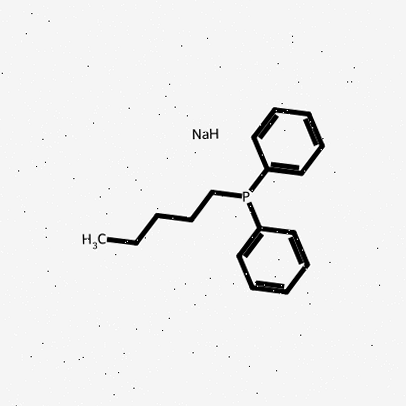 CCCCCP(c1ccccc1)c1ccccc1.[NaH]